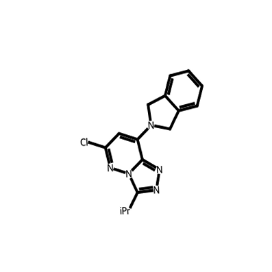 CC(C)c1nnc2c(N3Cc4ccccc4C3)cc(Cl)nn12